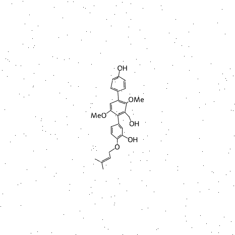 COc1cc(-c2ccc(O)cc2)c(OC)c(CO)c1-c1ccc(OCC=C(C)C)c(O)c1